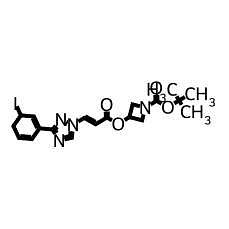 CC(C)(C)OC(=O)N1CC(OC(=O)/C=C/n2cnc(C3=CC(I)CC=C3)n2)C1